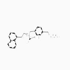 CNCc1ccc(CN(CCc2cccc3ccccc23)C(=O)C(C)C)cc1